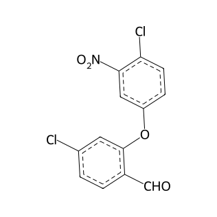 O=Cc1ccc(Cl)cc1Oc1ccc(Cl)c([N+](=O)[O-])c1